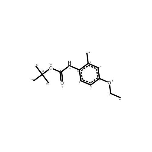 CCOc1ccc(NC(=O)OC(C)(C)C)c(C)c1